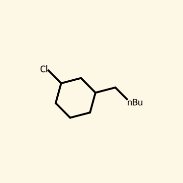 CCCCCC1CCCC(Cl)C1